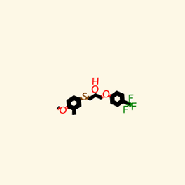 COc1ccc(SC[C@H](O)COc2ccc(C(F)(F)F)cc2)cc1C